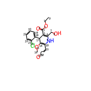 CCOC(=O)C1=C(CO)NC(C=C=O)=C(OC)C1c1ccccc1Cl